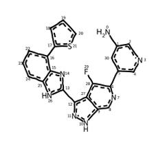 Nc1cncc(-c2ncc3[nH]nc(-c4nc5c(-c6cccs6)cccc5[nH]4)c3c2F)c1